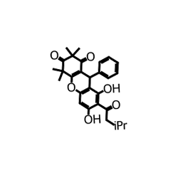 CC(C)CC(=O)c1c(O)cc2c(c1O)C(c1ccccc1)C1=C(O2)C(C)(C)C(=O)C(C)(C)C1=O